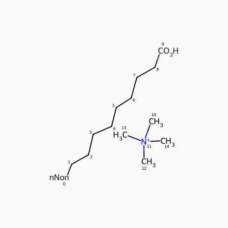 CCCCCCCCCCCCCCCCCC(=O)O.C[N+](C)(C)C